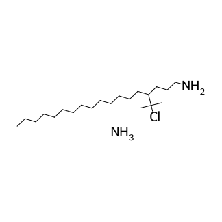 CCCCCCCCCCCCCCC(CCCN)C(C)(C)Cl.N